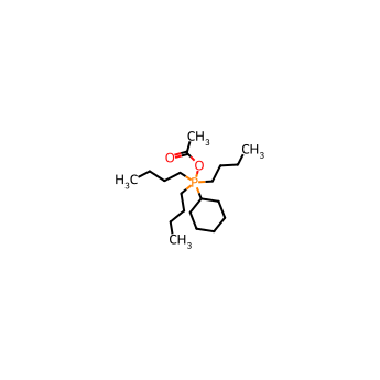 CCCCP(CCCC)(CCCC)(OC(C)=O)C1CCCCC1